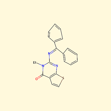 CCn1c(N=C(c2ccccc2)c2ccccc2)nc2sccc2c1=O